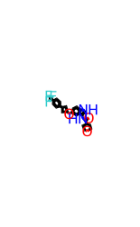 O=C(Nc1c[nH]c2ccc(OC3CC(c4ccc(C(F)(F)F)cc4)C3)cc12)C1CCOCC1